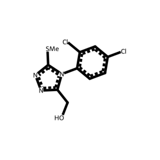 CSc1nnc(CO)n1-c1ccc(Cl)cc1Cl